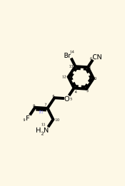 N#Cc1ccc(OC/C(=C/F)CN)cc1Br